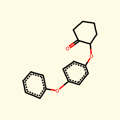 O=C1CCCCC1Oc1ccc(Oc2ccccc2)cc1